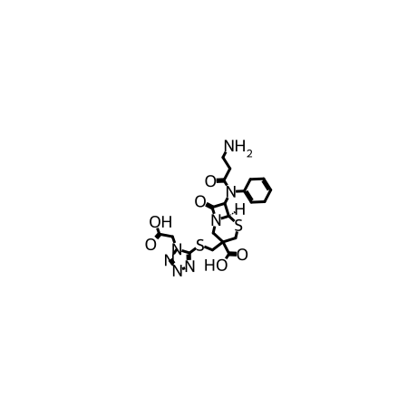 NCCC(=O)N(C1=CCC=CC1)C1C(=O)N2CC(CSc3nnnn3CC(=O)O)(C(=O)O)CS[C@H]12